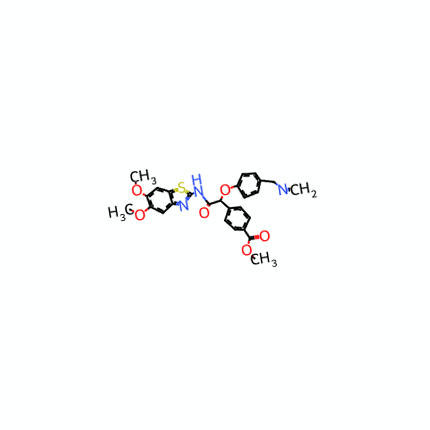 C=NCc1ccc(OC(C(=O)Nc2nc3cc(OC)c(OC)cc3s2)c2ccc(C(=O)OC)cc2)cc1